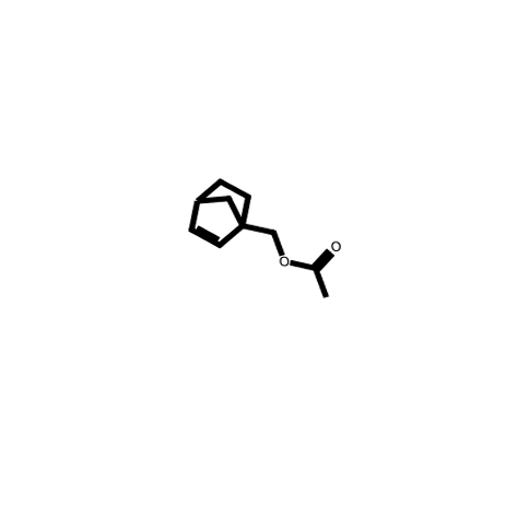 CC(=O)OCC12C=CC(CC1)C2